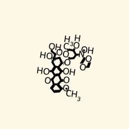 COc1cccc2c1C(=O)c1c(O)c3c(c(O)c1C2=O)C[C@@](O)(C(=O)CO)C[C@@H]3OC1CC(N(O)C2=COC=CO2)C(O)C(C)O1